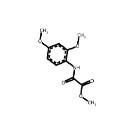 COC(=O)C(=O)Nc1ccc(OC)cc1OC